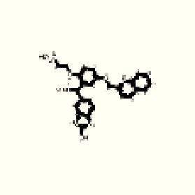 COC(c1ccc2nc(C#N)oc2c1)c1cc(OCc2ccc3ccccc3n2)ccc1OCCC(=O)O